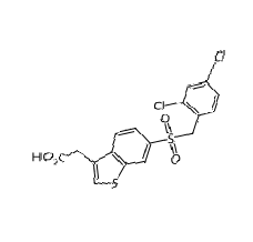 O=C(O)Cc1csc2cc(S(=O)(=O)Cc3ccc(Cl)cc3Cl)ccc12